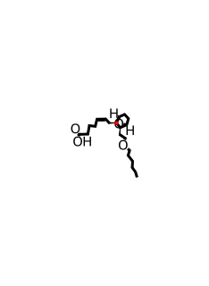 CCCCCCOCC[C@H]1[C@@H](C/C=C\CCCC(=O)O)[C@H]2CC[C@@H]1O2